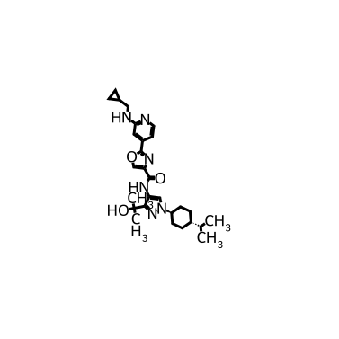 CC(C)[C@H]1CC[C@H](n2cc(NC(=O)c3coc(-c4ccnc(NCC5CC5)c4)n3)c(C(C)(C)O)n2)CC1